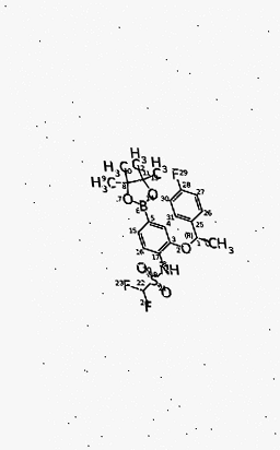 C[C@@H](Oc1cc(B2OC(C)(C)C(C)(C)O2)ccc1NS(=O)(=O)C(F)F)c1ccc(F)cc1